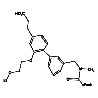 CCCCCC(=O)N(C)Cc1cccc(-c2ccc(CCC(=O)O)cc2OCCOCC)c1